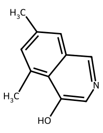 Cc1cc(C)c2c(O)cncc2c1